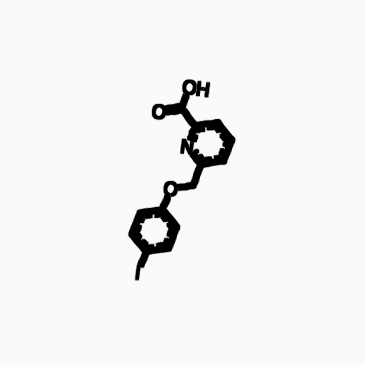 O=C(O)c1cccc(COc2ccc(I)cc2)n1